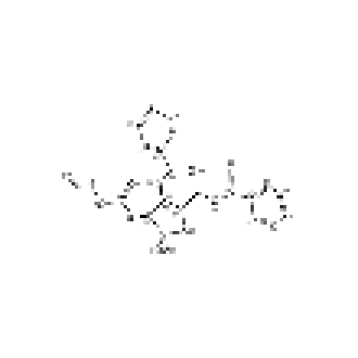 C=CCOC(=O)O[C@@H]1C(OC(C)=O)S[C@H](COC(=O)c2ccccc2)[C@@H]1OC(=O)c1ccccc1